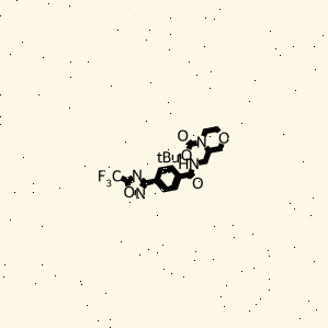 CC(C)(C)OC(=O)N1CCOCC1CNC(=O)c1ccc(-c2noc(C(F)(F)F)n2)cc1